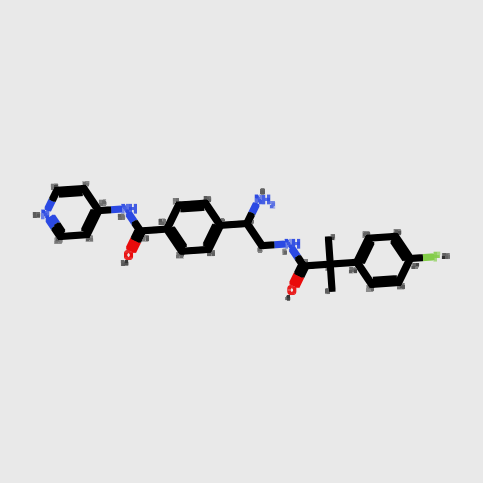 CC(C)(C(=O)NCC(N)c1ccc(C(=O)Nc2ccncc2)cc1)c1ccc(F)cc1